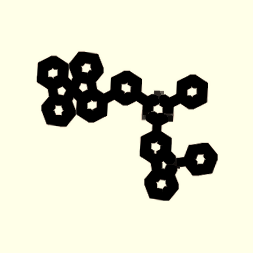 c1ccc(-c2nc(-c3cccc(-c4cccc5c4-c4ccccc4C54c5ccccc5-c5ccccc54)c3)nc(-c3ccc4c5ccccc5n(-c5ccccc5)c4c3)n2)cc1